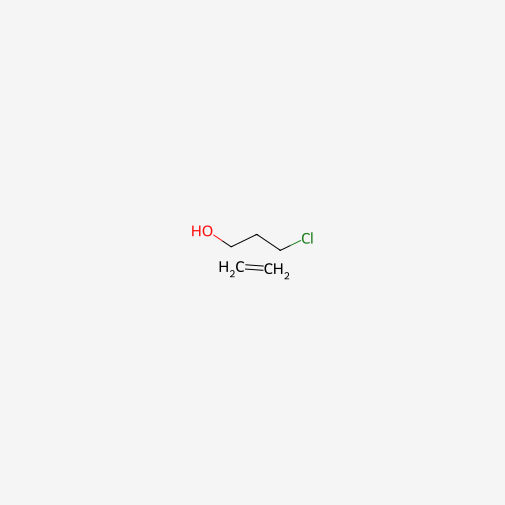 C=C.OCCCCl